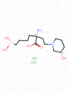 Cl.Cl.N[C@](CCCCB(O)O)(CCN1CCC[C@H](O)C1)C(=O)O